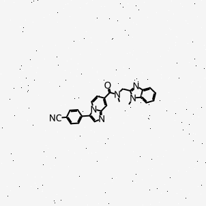 CN(Cc1nc2ccccc2n1C)C(=O)c1ccn2c(-c3ccc(C#N)cc3)cnc2c1